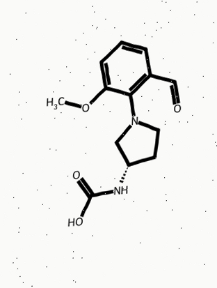 COc1cccc(C=O)c1N1CC[C@H](NC(=O)O)C1